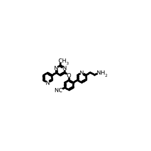 Cc1nc(Oc2cc(C#N)ccc2-c2ccc(CCN)nc2)cc(-c2cccnc2)n1